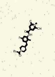 Cc1c(C=C2CCN(C(=O)C(C)C)CC2)cc(F)cc1NC(=O)c1cc(C#N)n(C)c(=O)c1